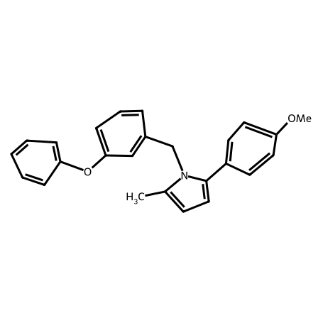 COc1ccc(-c2ccc(C)n2Cc2cccc(Oc3ccccc3)c2)cc1